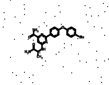 C[C@H](Nc1cc(C(N)=O)nc(-c2ccc(Oc3ccc(C(C)(C)C)cc3)cc2)n1)C(N)=O